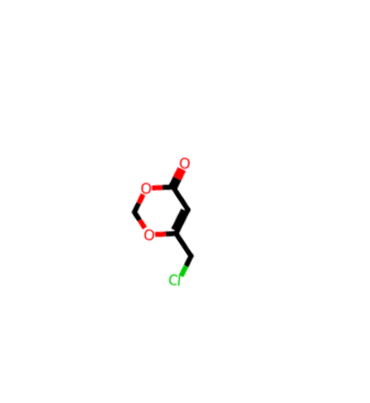 O=C1C=C(CCl)OCO1